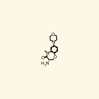 CN1C(=O)[C@@H](N)COc2ccc(N3CCOCC3)cc21